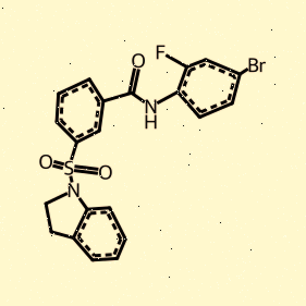 O=C(Nc1ccc(Br)cc1F)c1cccc(S(=O)(=O)N2CCc3ccccc32)c1